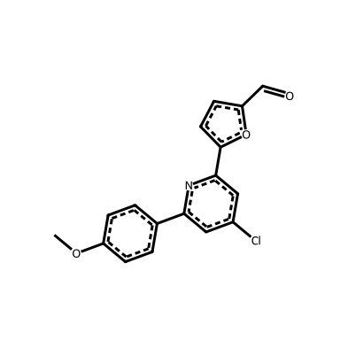 COc1ccc(-c2cc(Cl)cc(-c3ccc(C=O)o3)n2)cc1